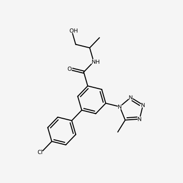 Cc1nnnn1-c1cc(C(=O)NC(C)CO)cc(-c2ccc(Cl)cc2)c1